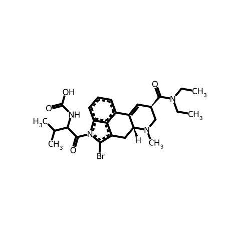 CCN(CC)C(=O)[C@@H]1C=C2c3cccc4c3c(c(Br)n4C(=O)C(NC(=O)O)C(C)C)C[C@H]2N(C)C1